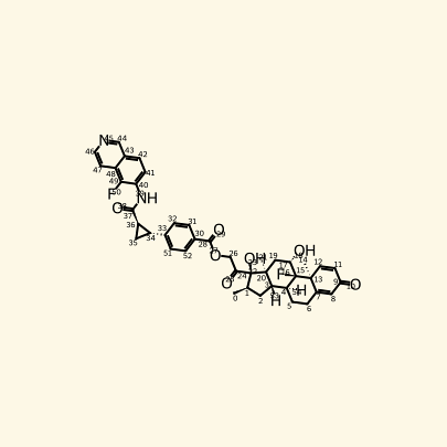 C[C@@H]1C[C@H]2[C@@H]3CCC4=CC(=O)C=C[C@]4(C)[C@@]3(F)[C@@H](O)C[C@]2(C)[C@@]1(O)C(=O)COC(=O)c1ccc([C@@H]2C[C@H]2C(=O)Nc2ccc3cnccc3c2F)cc1